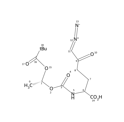 C[C@@H](OC(=O)NC(CCC(=O)C=[N+]=[N-])C(=O)O)OC(=O)C(C)(C)C